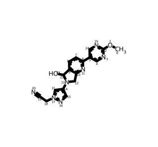 COc1ncc(-c2ccc3c(n2)CN(c2cnn(CC#N)c2)C3O)cn1